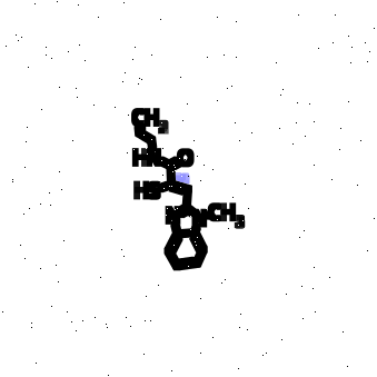 C=CCNC(=O)/C(S)=C/c1nc2ccccc2n1C